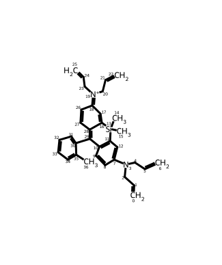 C=CCN(CC=C)c1ccc2c(c1)[Si](C)(C)C1=CC(=[N+](CC=C)CC=C)C=CC1=C2c1ccccc1C